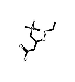 CCOOC(CC(=O)[O-])C[N+](C)(C)C